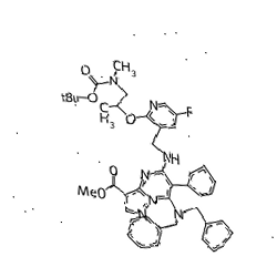 COC(=O)c1cnn2c(N(Cc3ccccc3)Cc3ccccc3)c(-c3ccccc3)c(NCc3cc(F)cnc3OC(C)CN(C)C(=O)OC(C)(C)C)nc12